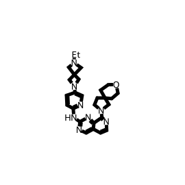 CCN1CC2(C1)CN(c1ccc(Nc3ncc4ccnc(N5CCC6(CCOCC6)C5)c4n3)nc1)C2